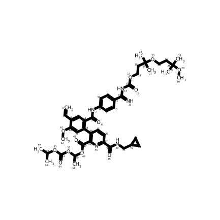 C=Cc1cc(C(=O)Nc2ccc(C(=N)NC(=O)OCCC(C)(C)OCCC(C)(C)OC)cc2)c(-c2ccc(C(=O)NCC3CC3)nc2C(=O)OC(C)OC(=O)OC(C)C)cc1OC